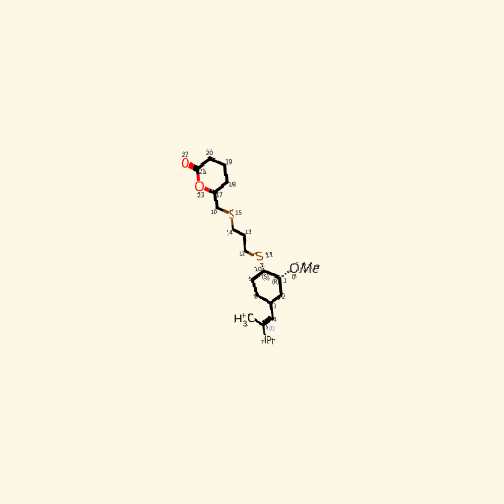 CO[C@@H]1CC(/C=C(\C)C(C)C)CC[C@@H]1SCCCSCC1CCCC(=O)O1